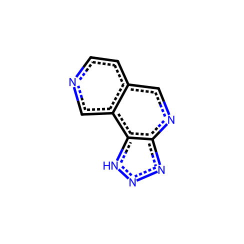 c1cc2cnc3nn[nH]c3c2cn1